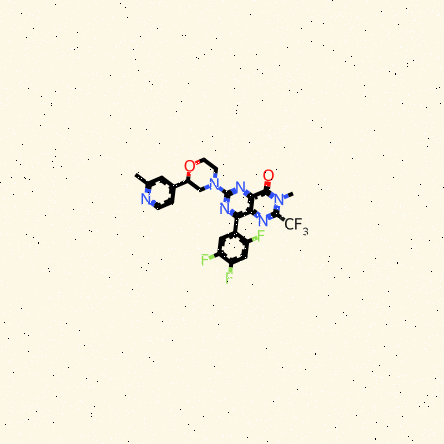 Cc1cc(C2CN(c3nc(-c4cc(F)c(F)cc4F)c4nc(C(F)(F)F)n(C)c(=O)c4n3)CCO2)ccn1